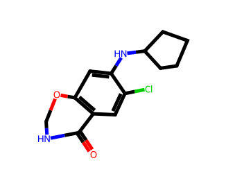 O=C1NCOc2cc(NC3CCCC3)c(Cl)cc21